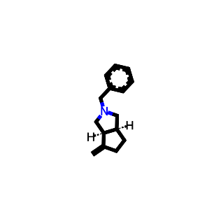 C=C1CC[C@@H]2CN(Cc3ccccc3)C[C@H]12